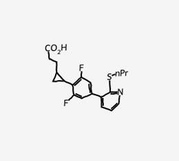 CCCSc1ncccc1-c1cc(F)c(C2CC2CCC(=O)O)c(F)c1